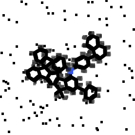 CC1(C)c2ccccc2-c2cc3c(cc21)-c1c(N(c2ccc(-c4ccccc4)cc2)c2ccc(-c4cccc5ccccc45)cc2)cc(-c2ccccc2)cc1C3(C)C